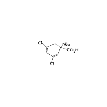 CCCCC1(C(=O)O)C=C(Cl)C=C(Cl)C1